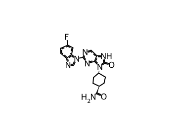 NC(=O)[C@H]1CC[C@H](n2c(=O)[nH]c3cnc(-n4cnc5ccc(F)cc54)nc32)CC1